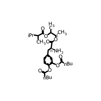 CCCCC(=O)Oc1ccc(C[C@H](N)C(=O)O[C@@H](C)C(C)OC(=O)C(C)C(C)C)cc1OC(=O)CCCC